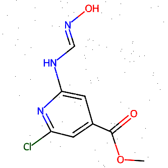 COC(=O)c1cc(Cl)nc(NC=NO)c1